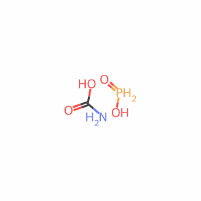 NC(=O)O.O=[PH2]O